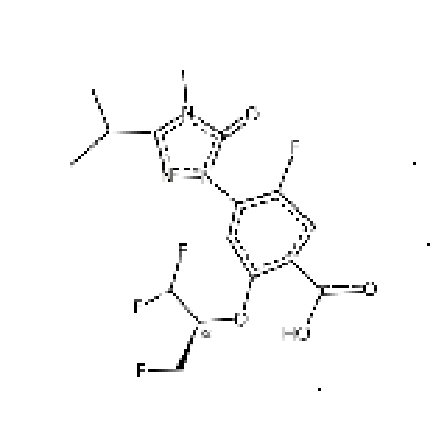 CC(C)c1nn(-c2cc(O[C@@H](CF)C(F)F)c(C(=O)O)cc2F)c(=O)n1C